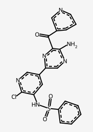 Nc1ncc(-c2cnc(Cl)c(NS(=O)(=O)c3ccccc3)c2)nc1C(=O)c1cccnc1